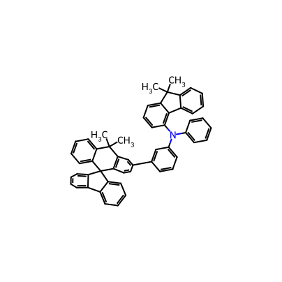 CC1(C)c2ccccc2C2(c3ccccc3-c3ccccc32)c2ccc(-c3cccc(N(c4ccccc4)c4cccc5c4-c4ccccc4C5(C)C)c3)cc21